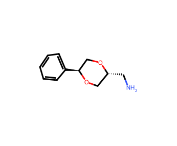 NC[C@@H]1CO[C@@H](c2ccccc2)CO1